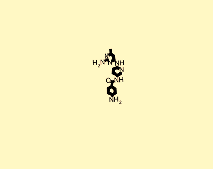 Cc1cc(Nc2ccc(NC(=O)c3ccc(N)cc3)cn2)nc(N)n1